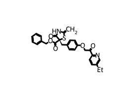 C=C1NC(=O)[C@@](Cc2ccc(OCC(=O)c3ccc(CC)cn3)cc2)(C(=O)OCc2ccccc2)S1